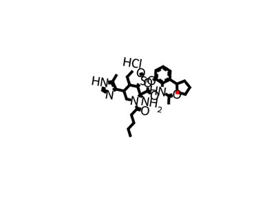 CCCCC(=O)N1CC(c2nc[nH]c2C)C(CC)C(=S(=O)=O)C1(N)C(=O)Oc1cccc(C2CCCC2)c1NC(C)=O.Cl